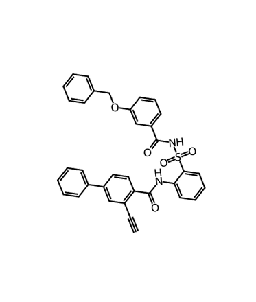 C#Cc1cc(-c2ccccc2)ccc1C(=O)Nc1ccccc1S(=O)(=O)NC(=O)c1cccc(OCc2ccccc2)c1